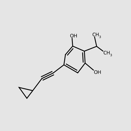 CC(C)c1c(O)cc(C#CC2CC2)cc1O